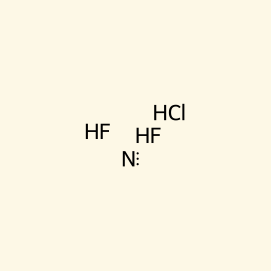 Cl.F.F.[N]